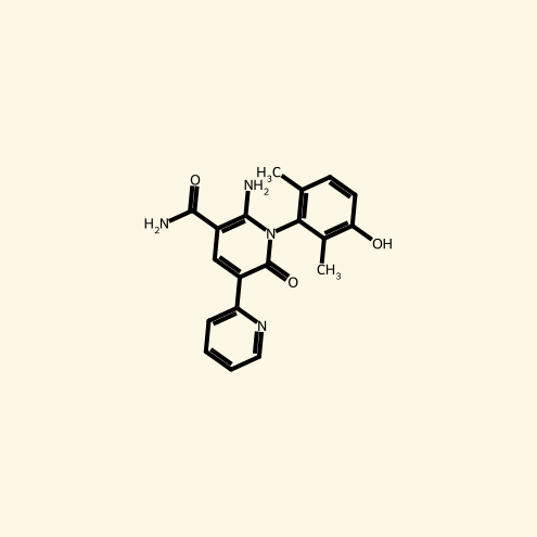 Cc1ccc(O)c(C)c1-n1c(N)c(C(N)=O)cc(-c2ccccn2)c1=O